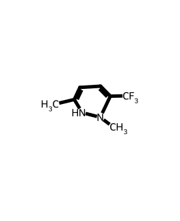 CC1=CC=C(C(F)(F)F)N(C)N1